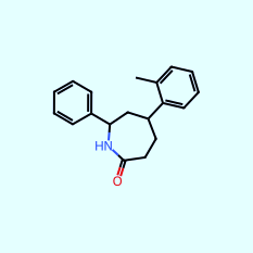 Cc1ccccc1C1CCC(=O)NC(c2ccccc2)C1